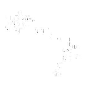 COc1cc(Nc2c(C#N)cnc3cc(OCCCN4CCN(C(=O)CCOCCOCCCN[C@H](C(=O)N5CC(O)CC5C(=O)NCc5ccc(-c6scnc6C)cc5)C(C)(C)C)CC4)c(OC)cc23)c(Cl)cc1Cl